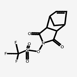 O=C1C2C3C=CC(C3)C2C(=O)N1OS(=O)(=O)C(F)(F)F